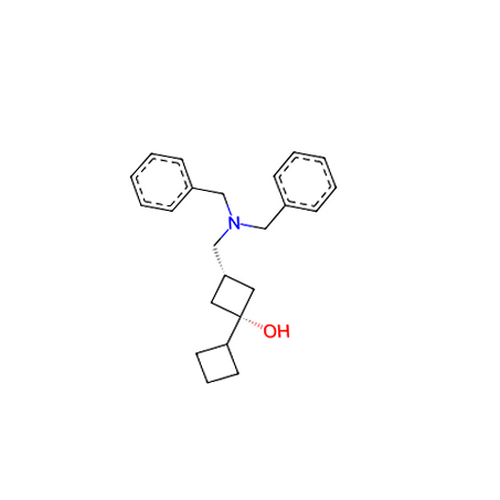 O[C@]1(C2CCC2)C[C@H](CN(Cc2ccccc2)Cc2ccccc2)C1